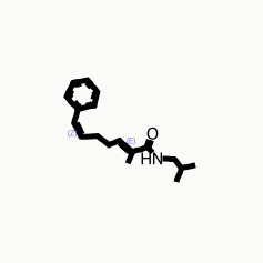 C/C(=C\CC/C=C\c1ccccc1)C(=O)NCC(C)C